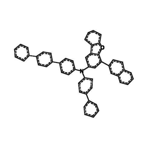 c1ccc(-c2ccc(-c3ccc(N(c4ccc(-c5ccccc5)cc4)c4cc(-c5ccc6ccccc6c5)c5oc6ccccc6c5c4)cc3)cc2)cc1